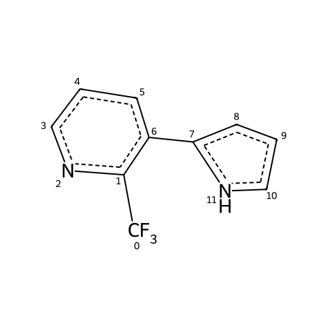 FC(F)(F)c1ncccc1-c1ccc[nH]1